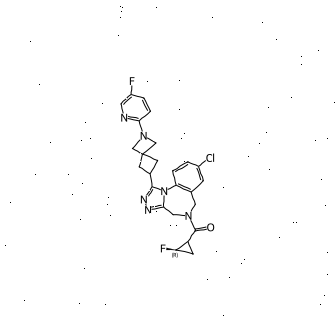 O=C(C1C[C@H]1F)N1Cc2cc(Cl)ccc2-n2c(nnc2C2CC3(C2)CN(c2ccc(F)cn2)C3)C1